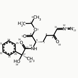 CC(C)OC(=O)[C@H](CCC(=O)C=[N+]=[N-])NC(=O)[C@@](C)(O)c1ccccc1